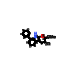 CC[C@@H](Cc1c[nH]c2c(-c3ccccc3)cccc12)C(=O)OC